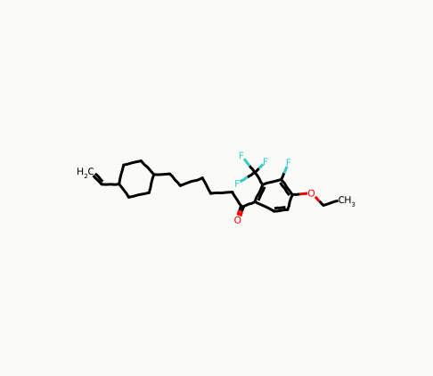 C=CC1CCC(CCCCCC(=O)c2ccc(OCC)c(F)c2C(F)(F)F)CC1